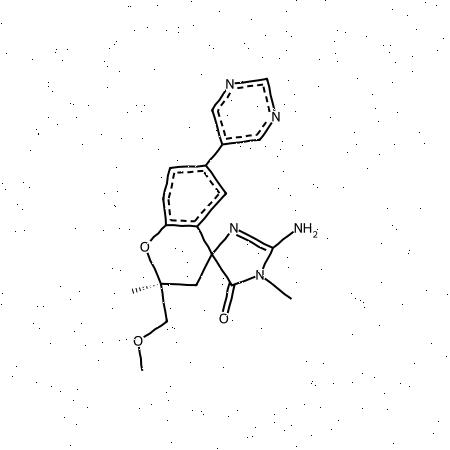 COC[C@]1(C)CC2(N=C(N)N(C)C2=O)c2cc(-c3cncnc3)ccc2O1